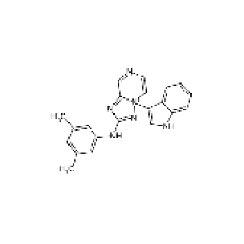 Cc1cc(C)cc(NC2=N[N+]3(c4c[nH]c5ccccc45)C=CN=CC3=N2)c1